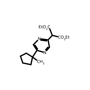 CCOC(=O)C(C(=O)OCC)c1cnc(C2(C)CCCC2)cn1